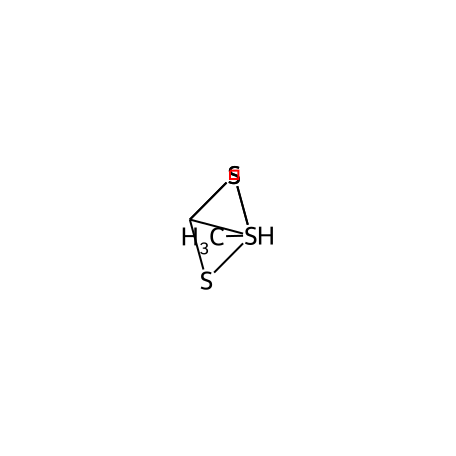 C[SH]123SC1(S2)S3